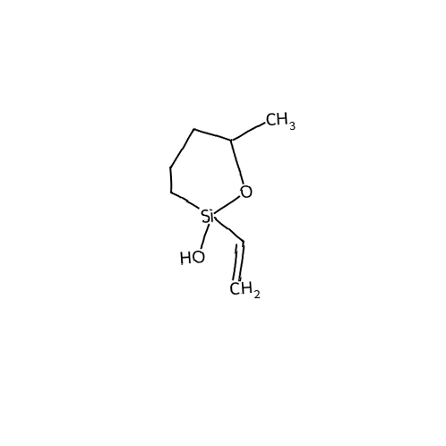 C=C[Si]1(O)CCCC(C)O1